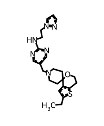 CCc1cc2c(s1)CCOC21CCN(Cc2cnc(NCCn3cccn3)nc2)CC1